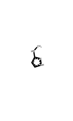 CNc1cc[nH]n1